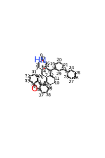 CC/C=C\C(C)=C(\C1=CCCC=C1/C(=C(\C)C=N)c1cccc(-c2ccccc2)c1)c1cccc2oc3ccccc3c12